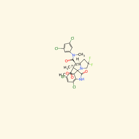 COC(=O)[C@@]1(C)[C@@H](C(=O)N(C)c2cc(Cl)cc(Cl)c2)[C@H]2CC(F)(F)CN2C12C(=O)Nc1c(Cl)cc(Cl)cc12